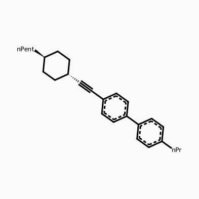 CCCCC[C@H]1CC[C@H](C#Cc2ccc(-c3ccc(CCC)cc3)cc2)CC1